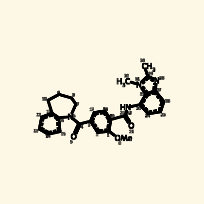 COc1cc(C(=O)N2CCCCc3ccccc32)ccc1C(=O)Nc1cccc2nc(C)n(C)c12